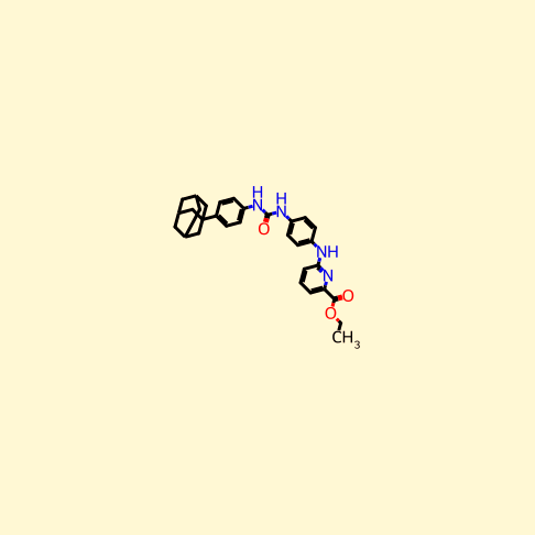 CCOC(=O)c1cccc(Nc2ccc(NC(=O)Nc3ccc(C45CC6CC(CC(C6)C4)C5)cc3)cc2)n1